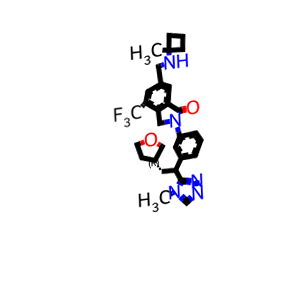 Cn1cnnc1C(C[C@@H]1CCOC1)c1cccc(N2Cc3c(cc(CNC4(C)CCC4)cc3C(F)(F)F)C2=O)c1